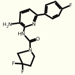 Nc1ccc(-c2ccc(F)cc2)nc1NC(=O)N1CCC(F)(F)C1